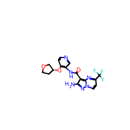 Nc1nn2ccc(C(F)(F)F)nc2c1C(=O)Nc1cnccc1O[C@H]1CCOC1